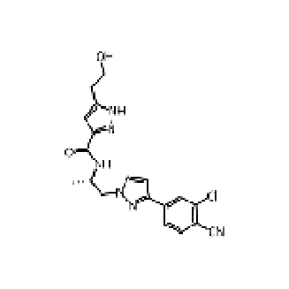 C[C@@H](Cn1ccc(-c2ccc(C#N)c(Cl)c2)n1)NC(=O)c1cc(CCO)[nH]n1